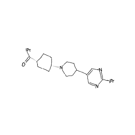 CC(C)c1ncc(C2CCN([C@H]3CC[C@@H](C(=O)C(C)C)CC3)CC2)cn1